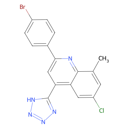 Cc1cc(Cl)cc2c(-c3nnn[nH]3)cc(-c3ccc(Br)cc3)nc12